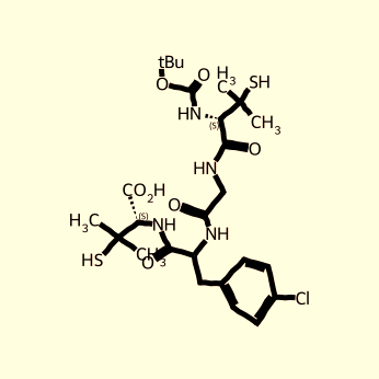 CC(C)(C)OC(=O)N[C@@H](C(=O)NCC(=O)NC(Cc1ccc(Cl)cc1)C(=O)N[C@@H](C(=O)O)C(C)(C)S)C(C)(C)S